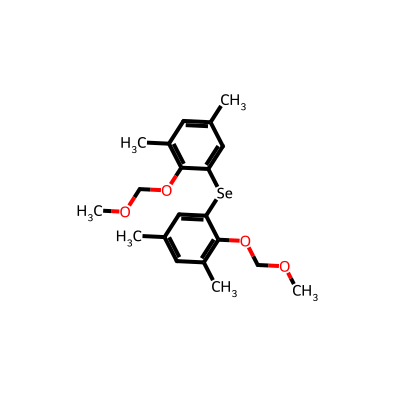 COCOc1c(C)cc(C)cc1[Se]c1cc(C)cc(C)c1OCOC